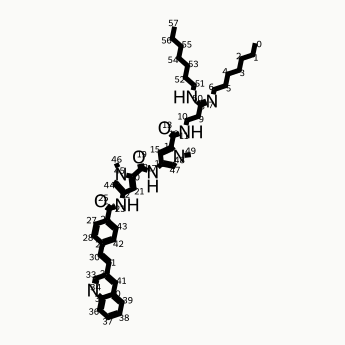 CCCCCCC/N=C(/CCNC(=O)c1cc(NC(=O)c2cc(NC(=O)c3ccc(/C=C/c4cnc5ccccc5c4)cc3)cn2C)cn1C)NCCCCCCC